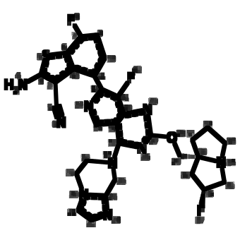 N#Cc1c(N)sc2c(F)ccc(-c3ncc4c(N5CCn6ccnc6C5)nc(OC[C@]56CCCN5C[C@@H](F)C6)nc4c3F)c12